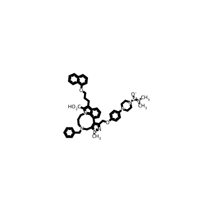 CN(C)[S+]([O-])N1CCN(c2ccc(OCc3nn(C)c4c3-c3cccc5c(CCCOc6cccc7ccccc67)c(C(=O)O)n(c35)CCCN(Cc3ccccc3)C4)cc2)CC1